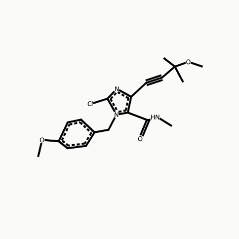 CNC(=O)c1c(C#CC(C)(C)OC)nc(Cl)n1Cc1ccc(OC)cc1